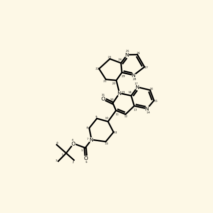 CC(C)(C)OC(=O)N1CCC(c2cc3nccnc3n(C3CCCc4nccnc43)c2=O)CC1